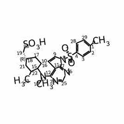 Cc1ccc(S(=O)(=O)n2ccc3c(N(C)C4CC[C@@H](CS(=O)(=O)O)CC4C)ncnc32)cc1